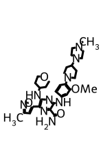 COc1cc(Nc2nc(NC3CCOCC3)c(-c3cc(C)no3)nc2C(N)=O)ccc1N1CCC(N2CCN(C)CC2)CC1